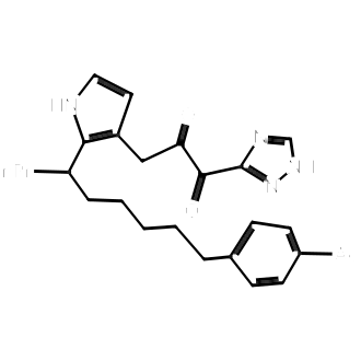 CCCC(CCCCCc1ccc(C(C)=O)cc1)c1[nH]ccc1CC(=O)C(=O)c1nc[nH]n1